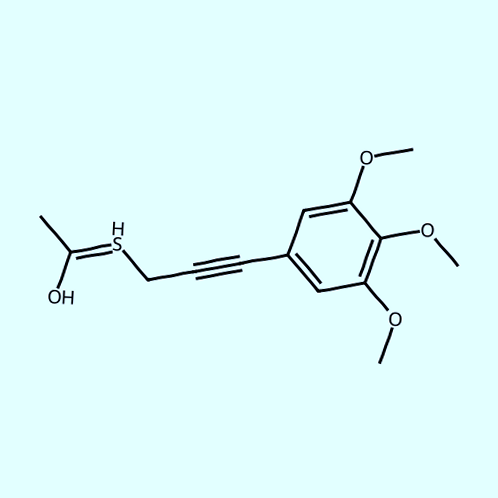 COc1cc(C#CC[SH]=C(C)O)cc(OC)c1OC